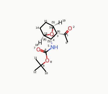 CC(=O)[C@@H]1[C@H](NC(=O)OC(C)(C)C)[C@H]2CC[C@@H]1O2